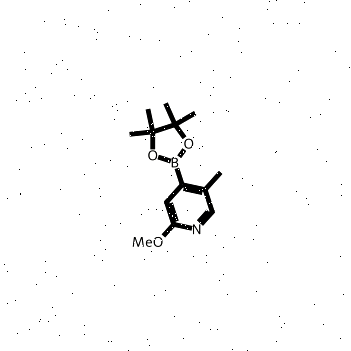 COc1cc(B2OC(C)(C)C(C)(C)O2)c(C)cn1